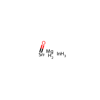 [InH3].[MgH2].[O]=[Sn]